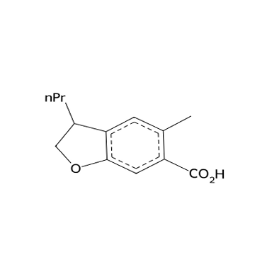 CCCC1COc2cc(C(=O)O)c(C)cc21